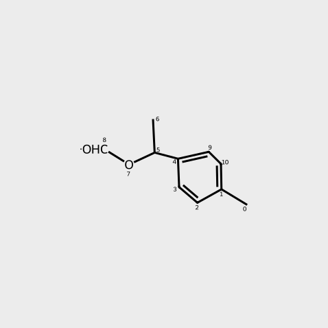 Cc1ccc(C(C)O[C]=O)cc1